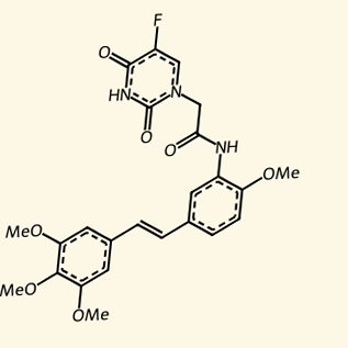 COc1ccc(C=Cc2cc(OC)c(OC)c(OC)c2)cc1NC(=O)Cn1cc(F)c(=O)[nH]c1=O